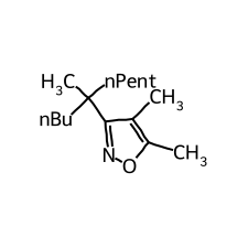 CCCCCC(C)(CCCC)c1noc(C)c1C